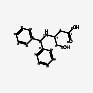 O=C(O)C[C@@H](CO)NC(c1ccccc1)c1ccccc1